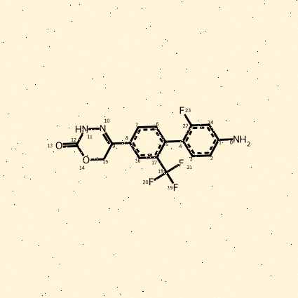 Nc1ccc(-c2ccc(C3=NNC(=O)OC3)cc2C(F)(F)F)c(F)c1